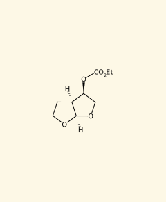 CCOC(=O)O[C@H]1CO[C@H]2OCC[C@H]21